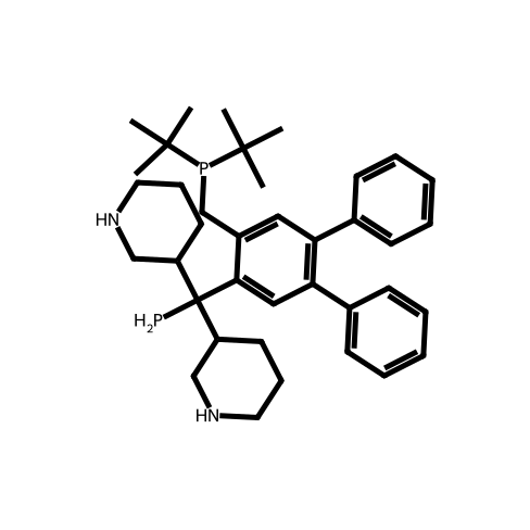 CC(C)(C)P(Cc1cc(-c2ccccc2)c(-c2ccccc2)cc1C(P)(C1CCCNC1)C1CCCNC1)C(C)(C)C